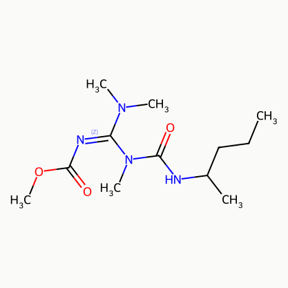 CCCC(C)NC(=O)N(C)/C(=N\C(=O)OC)N(C)C